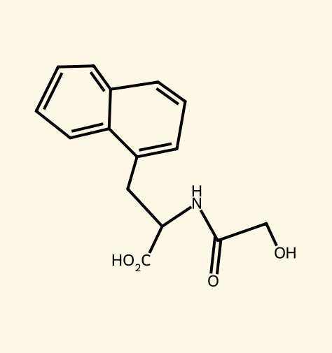 O=C(CO)NC(Cc1cccc2ccccc12)C(=O)O